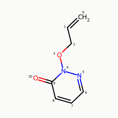 C=CCOn1ncccc1=O